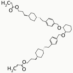 C=CC(=O)OCCC[C@H]1CC[C@H](CCc2ccc(CO[C@@H]3CCCC[C@H]3OCc3ccc(CC[C@H]4CC[C@H](CCCOC(=O)C=C)CC4)cc3)cc2)CC1